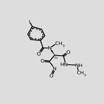 CNNC(=O)[C@@H](C(=O)N=O)N(C)C(=O)c1ccc(I)cc1